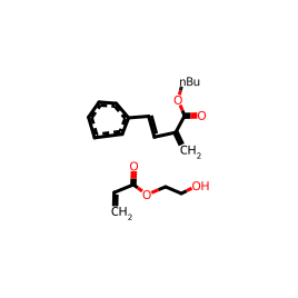 C=C(C=Cc1ccccc1)C(=O)OCCCC.C=CC(=O)OCCO